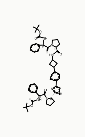 CC(C)(C)OC(=O)N[C@@H](C(=O)N1CCC[C@H]1C(=O)NC1CC(c2ccc(-c3c[nH]c([C@@H]4CCCN4C(=O)[C@H](NC(=O)OC(C)(C)C)c4ccccc4)n3)cc2)C1)c1ccccc1